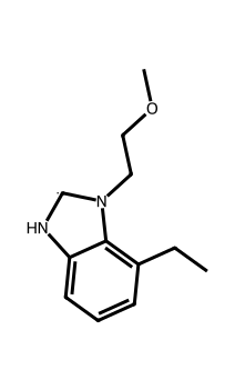 CCc1cccc2c1N(CCOC)[CH]N2